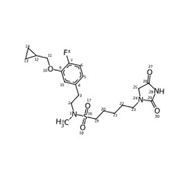 CN(CCc1ccc(F)c(OCC2CC2)c1)S(=O)(=O)CCCCCN1CC(=O)NC1=O